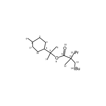 CC1CCC(C(C)(C)OC(=O)C(C)(CC(C)(C)C)C(C)C)CC1